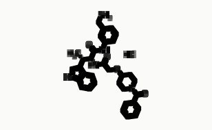 C[C@@H](c1c[nH]c2ccccc12)[C@@H](NC(=O)COC1CCN(C(=O)c2ccccc2)CC1)C(=O)Nc1cccc(CN)c1.Cl